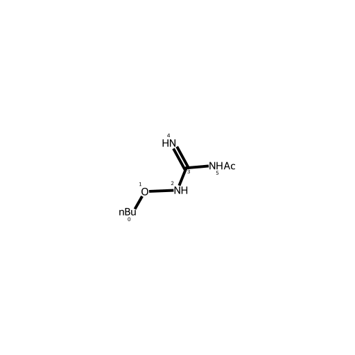 CCCCONC(=N)NC(C)=O